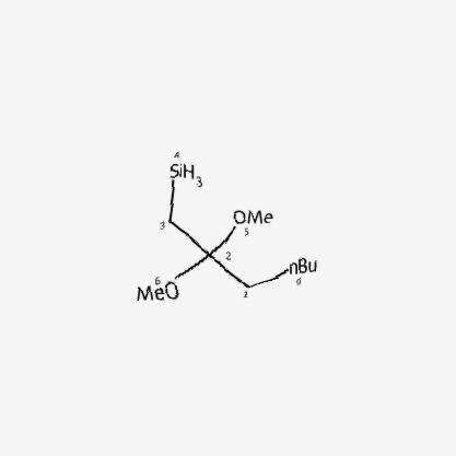 CCCCCC(C[SiH3])(OC)OC